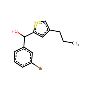 CCCc1csc(C(O)c2cccc(Br)c2)c1